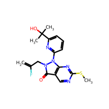 C=C(F)Cn1c(=O)c2cnc(SC)nc2n1-c1cccc(C(C)(C)O)n1